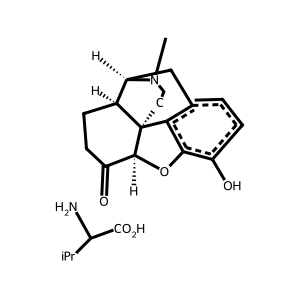 CC(C)C(N)C(=O)O.CN1CC[C@]23c4c5ccc(O)c4O[C@H]2C(=O)CC[C@H]3[C@H]1C5